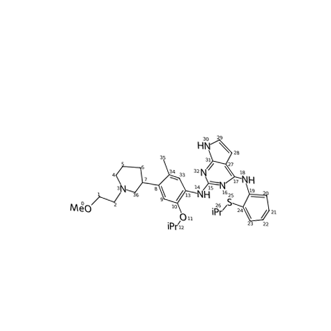 COCCN1CCCC(c2cc(OC(C)C)c(Nc3nc(Nc4ccccc4SC(C)C)c4cc[nH]c4n3)cc2C)C1